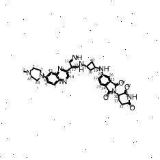 CN1CCN(c2ccc3ncc(/C(C=N)=C/NC4CC(Nc5ccc6c(c5)C(=O)N(C5CCC(=O)NC5=O)C6=O)C4)nc3c2)CC1